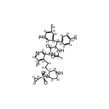 CC(=O)NC(C(=O)Nc1cncc(F)c1CC[C@H]1CNCCN1S(=O)(=O)C1CC1)C(c1ccc(F)cc1)c1cc(F)cc(F)c1